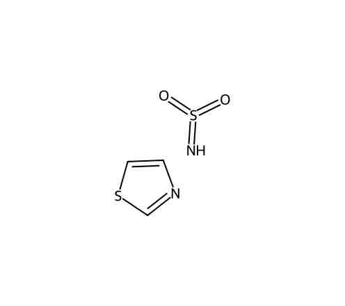 N=S(=O)=O.c1cscn1